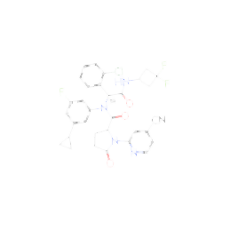 N#Cc1ccnc(N2C(=O)CCC2C(=O)N(c2cc(F)cc(C3CC3)c2)[C@H](C(=O)NC2CC(F)(F)C2)c2ccccc2Cl)c1